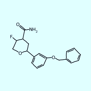 NC(=O)C1CC(c2cccc(OCc3ccccc3)c2)OCC1F